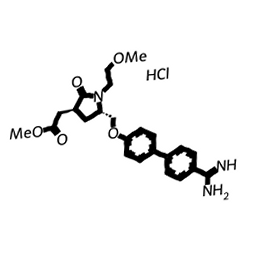 COCCN1C(=O)[C@H](CC(=O)OC)C[C@H]1COc1ccc(-c2ccc(C(=N)N)cc2)cc1.Cl